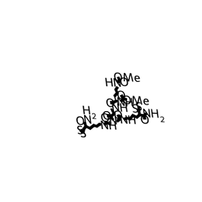 COC(=O)NCCCC[C@@H](NC(=O)OC)C(=O)NCCC(=O)N(CC(=O)NCCCCC(C(N)=O)C1SS1)CC(=O)NCCCCC(C(N)=O)C1SS1